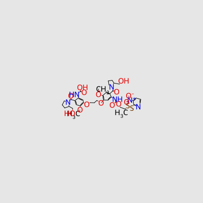 COc1cc(C(=O)N2CCCC2CO)c(NC(=O)O)cc1OCCCOc1cc(NC(=O)OCC(C)SSc2ncccc2[N+](=O)[O-])c(C(=O)N2CCCC2CO)cc1OC